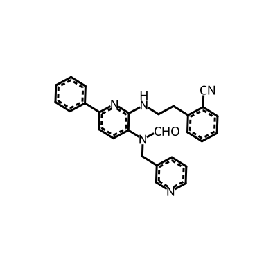 N#Cc1ccccc1CCNc1nc(-c2ccccc2)ccc1N(C=O)Cc1cccnc1